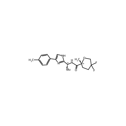 Cc1ccc(-c2c[nH]c([C@@H](NC(=O)[C@@]3(C)CCC(F)(F)CO3)C(C)(C)C)n2)cc1